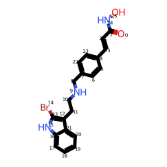 O=C(/C=C/c1ccc(CNCCc2c(Br)[nH]c3ccccc23)cc1)NO